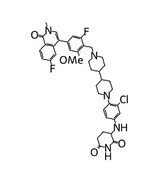 COc1cc(-c2cn(C)c(=O)c3ccc(F)cc23)cc(F)c1CN1CCC(C2CCN(c3ccc(NC4CCC(=O)NC4=O)cc3Cl)CC2)CC1